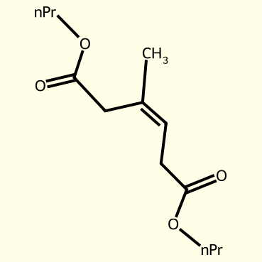 CCCOC(=O)CC=C(C)CC(=O)OCCC